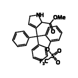 COC(=O)C1NCC=C1C(c1ccccc1)(c1ccccc1)c1ccccc1OS(=O)(=O)C(F)(F)F